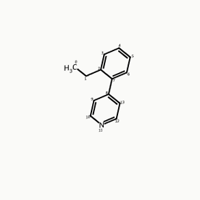 C[CH]c1ccccc1-c1ccncc1